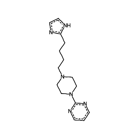 c1cnc(N2CCN(CCCCc3ncc[nH]3)CC2)nc1